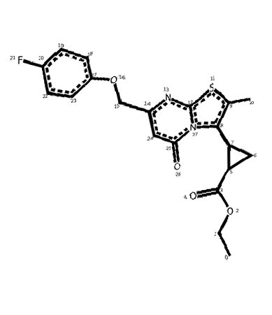 CCOC(=O)C1CC1c1c(C)sc2nc(COc3ccc(F)cc3)cc(=O)n12